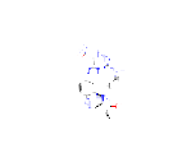 C=CC(=O)NC1CC[C@@H](Nc2nnc(C(N)=O)c(Nc3ccc4ncccc4c3)n2)[C@H]1C